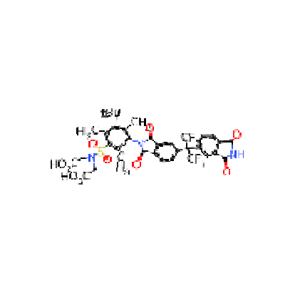 Cc1c(N2C(=O)c3ccc(C(c4ccc5c(c4)C(=O)NC5=O)(C(F)(F)F)C(F)(F)F)cc3C2=O)c(C)c(S(=O)(=O)N(CC(=O)O)CC(=O)O)c(C)c1C(C)(C)C